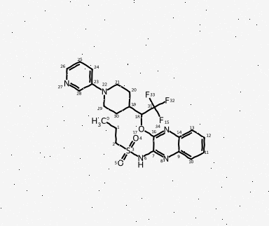 CCCS(=O)(=O)Nc1nc2ccccc2nc1OC(C1CCN(c2cccnc2)CC1)C(F)(F)F